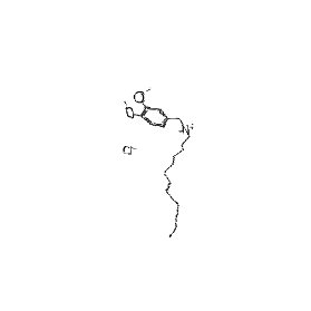 CCCCCCCCCCCC[N+](C)(C)Cc1ccc(OC)c(OC)c1.[Cl-]